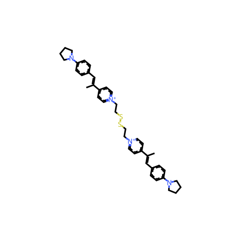 C/C(=C\c1ccc(N2CCCC2)cc1)c1cc[n+](CCSSCC[n+]2ccc(/C(C)=C/c3ccc(N4CCCC4)cc3)cc2)cc1